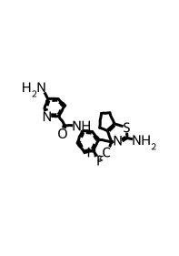 CC1(c2cc(NC(=O)c3ccc(N)cn3)ccc2F)N=C(N)SC2=C1CCC2